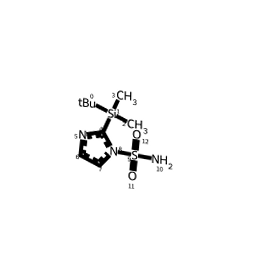 CC(C)(C)[Si](C)(C)c1nccn1S(N)(=O)=O